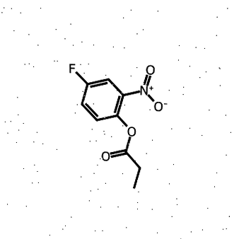 CCC(=O)Oc1ccc(F)cc1[N+](=O)[O-]